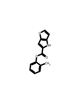 Cc1ccccc1OC(=O)c1cc2occc2[nH]1